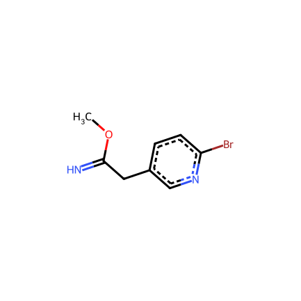 COC(=N)Cc1ccc(Br)nc1